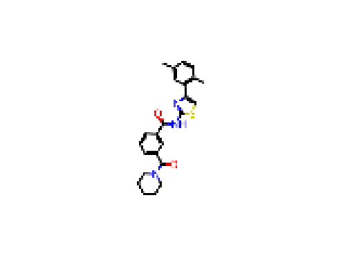 Cc1ccc(C)c(-c2csc(NC(=O)c3cccc(C(=O)N4CCCCC4)c3)n2)c1